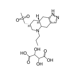 CCCN1C[C@H](CS(C)(=O)=O)C[C@@H]2Cc3[nH]ncc3CC21.O=C(O)C(O)C(O)C(=O)O